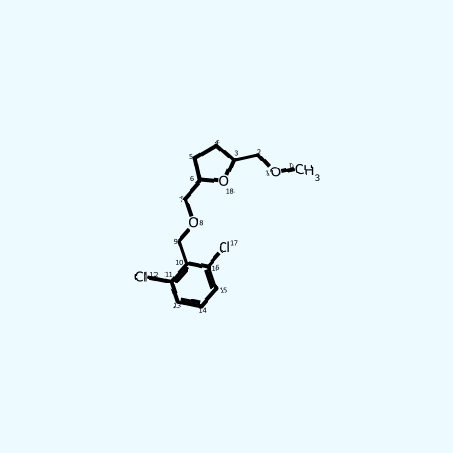 COCC1CCC(COCc2c(Cl)cccc2Cl)O1